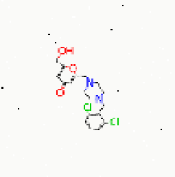 O=c1cc(CO)oc(CN2CCN(Cc3c(Cl)cccc3Cl)CC2)c1